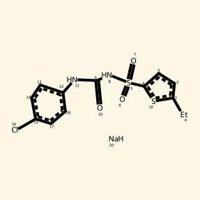 CCc1ccc(S(=O)(=O)NC(=O)Nc2ccc(Cl)cc2)s1.[NaH]